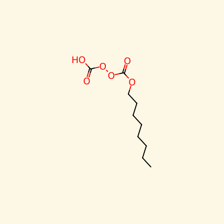 CCCCCCCCOC(=O)OOC(=O)O